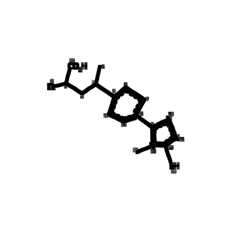 CCC(CC(C)c1ccc(-c2nnc(S)n2C)cc1)C(=O)O